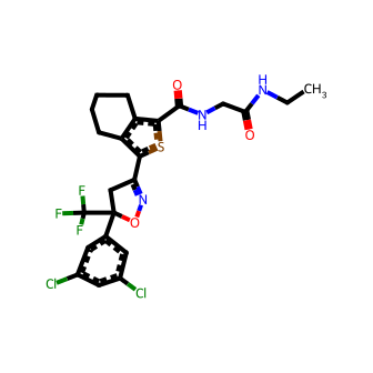 CCNC(=O)CNC(=O)c1sc(C2=NOC(c3cc(Cl)cc(Cl)c3)(C(F)(F)F)C2)c2c1CCCC2